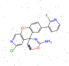 NC1=NC2(c3cc(-c4cccnc4F)ccc3Oc3cnc(Cl)cc32)c2ncccc2O1